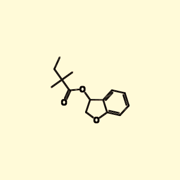 CCC(C)(C)C(=O)OC1COc2ccccc21